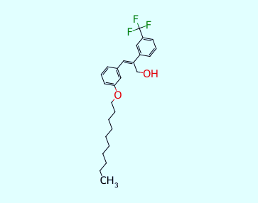 CCCCCCCCCCOc1cccc(C=C(CO)c2cccc(C(F)(F)F)c2)c1